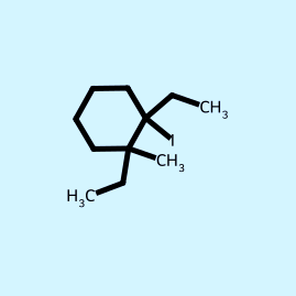 CCC1(C)CCCCC1(I)CC